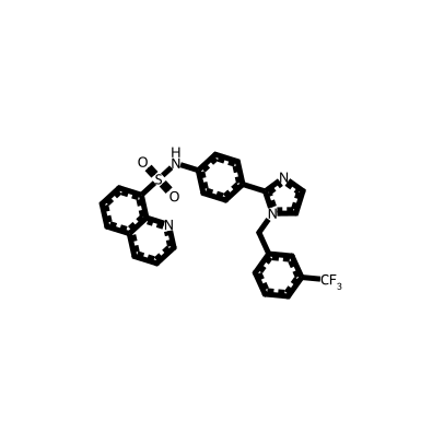 O=S(=O)(Nc1ccc(-c2nccn2Cc2cccc(C(F)(F)F)c2)cc1)c1cccc2cccnc12